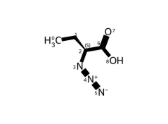 CC[C@H](N=[N+]=[N-])C(=O)O